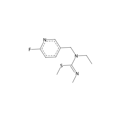 CCN(Cc1ccc(F)nc1)C(=NC)SC